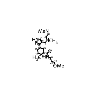 CNCCN(C)Cc1c[nH]nc1[C@@H]1CCC(C)(C)[C@@H](C(=O)NCCCOC)C1